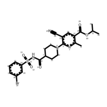 Cc1nc(N2CCC(C(=O)NS(=O)(=O)c3cccc(Br)c3)CC2)c(C#N)cc1C(=O)OC(C)C